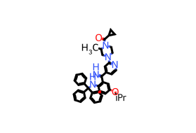 CC(C)Oc1ccc(NC(c2ccccc2)(c2ccccc2)c2ccccc2)c(C(=N)c2ccnc(N3CCN(C(=O)C4CC4)C(C)C3)c2)c1